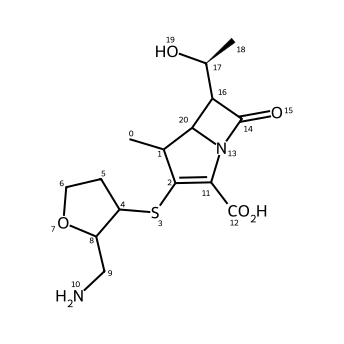 CC1C(SC2CCOC2CN)=C(C(=O)O)N2C(=O)C([C@H](C)O)C12